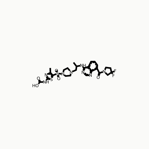 Cc1nc(NC(=O)O)sc1S(=O)(=O)N1CCN(CC(C)Nc2ncnc3c(C(=O)N4CCC(F)(F)C4)cccc23)CC1